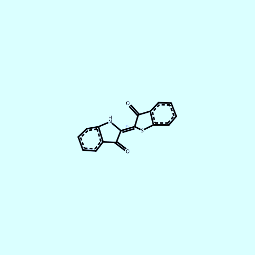 O=C1/C(=C2\Sc3ccccc3C2=O)Nc2ccccc21